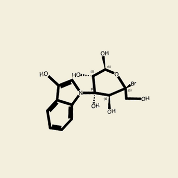 OC[C@@]1(Br)O[C@H](O)[C@@H](O)[C@](O)(n2cc(O)c3ccccc32)[C@@H]1O